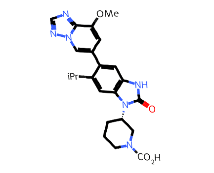 COc1cc(-c2cc3[nH]c(=O)n([C@H]4CCCN(C(=O)O)C4)c3cc2C(C)C)cn2ncnc12